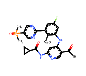 CCC(=O)c1cnc(NC(=O)C2CC2)cc1Nc1cc(F)cc(-c2ncc(P(C)(C)=O)cn2)c1OC